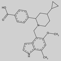 COc1cc(C)c2[nH]ccc2c1CN1CCC(C2CC2)CC1c1ccc(C(=O)O)cc1